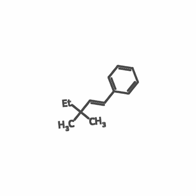 CCC(C)(C)C=Cc1ccccc1